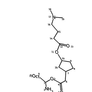 CCCCCCCCC(N)OC(=O)CC1CCC(OC(=O)CCCN(C)C)C1